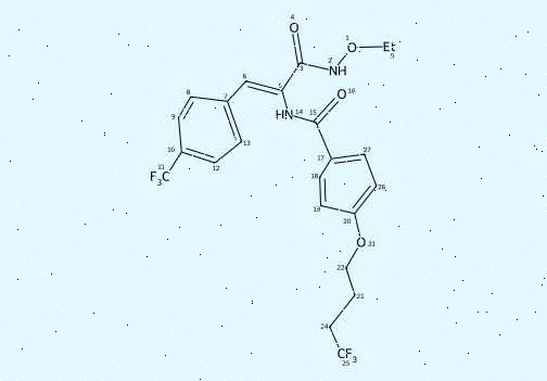 CCONC(=O)C(=Cc1ccc(C(F)(F)F)cc1)NC(=O)c1ccc(OCCCC(F)(F)F)cc1